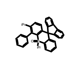 CC(C)c1ccc2c(c1-c1ccccc1)P(=O)(C(C)C)c1ccccc1C21c2ccccc2-c2ccccc21